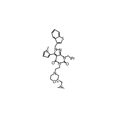 CC(C)Cn1c(=O)n(CCN2CCO[C@H](CN(C)C)C2)c(=O)c2c(-c3cccn3C)n(Cc3csc4ccccc34)nc21